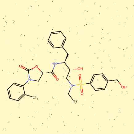 CC(C)CN(C[C@@H](O)[C@H](Cc1ccccc1)NC(=O)[C@@H]1CN(c2ccccc2C(F)(F)F)C(=O)O1)S(=O)(=O)c1ccc(CO)cc1